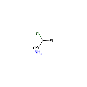 CCCC(Cl)CC.N